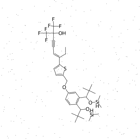 CCC(=CC#CC(O)(C(F)(F)F)C(F)(F)F)c1ccc(COc2ccc(C(O[SiH](C)C)C(C)(C)C)c(C(O[SiH](C)C)C(C)(C)C)c2)s1